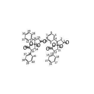 O=C1CC(c2ccccc2)C2(CC(c3ccccc3)C(=O)O2)O1.O=C1CC(c2ccccc2)C2(CC(c3ccccc3)C(=O)O2)O1